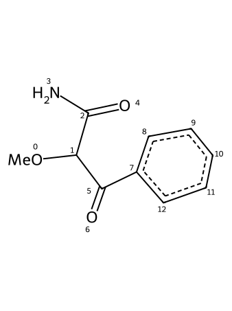 COC(C(N)=O)C(=O)c1ccccc1